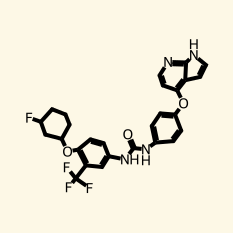 O=C(Nc1ccc(Oc2ccnc3[nH]ccc23)cc1)Nc1ccc(OC2CCCC(F)C2)c(C(F)(F)F)c1